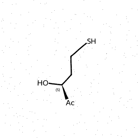 CC(=O)[C@@H](O)CCS